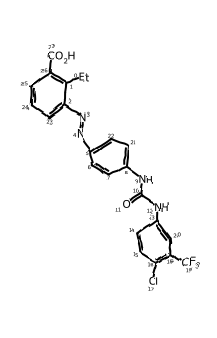 CCc1c(N=Nc2ccc(NC(=O)Nc3ccc(Cl)c(C(F)(F)F)c3)cc2)cccc1C(=O)O